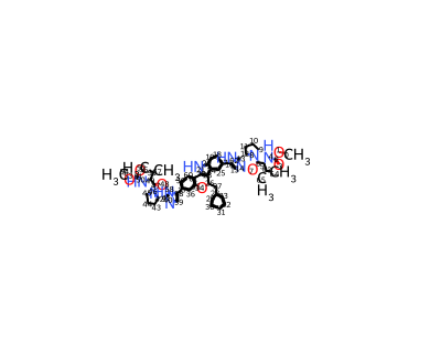 COC(=O)NC(C(=O)N1CCC[C@H]1c1ncc(-c2ccc3[nH]c4c(c3c2)C(Cc2ccccc2)Oc2cc(-c3cnc([C@@H]5CCCN5C(=O)[C@@H](NC(=O)OC)C(C)C)[nH]3)ccc2-4)[nH]1)C(C)C